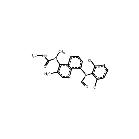 CNC(=O)N(C)c1c(C)cnc2c(N(C=O)c3c(Cl)ccnc3Cl)cccc12